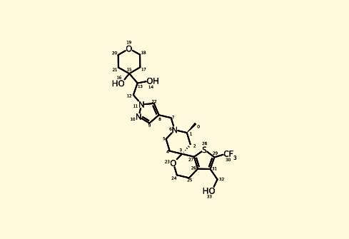 C[C@H]1C[C@@]2(CCN1Cc1cnn(CC(O)C3(O)CCOCC3)c1)OCCc1c2sc(C(F)(F)F)c1CO